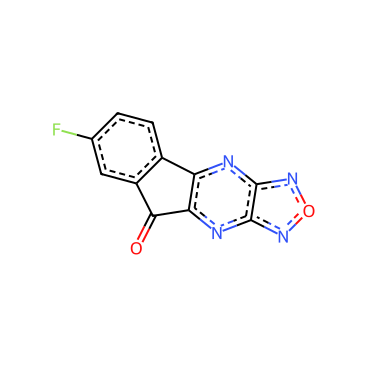 O=C1c2cc(F)ccc2-c2nc3nonc3nc21